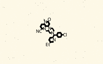 CCc1ccc(C(c2ccc(Cl)cc2)N2CCN(c3cc(=O)n(C)c4ccc(C#N)nc34)C(C)C2)nc1